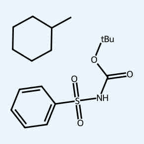 CC(C)(C)OC(=O)NS(=O)(=O)c1ccccc1.CC1CCCCC1